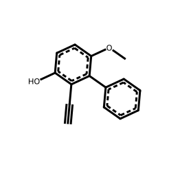 C#Cc1c(O)ccc(OC)c1-c1ccccc1